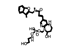 Cc1c(CN(C)C(=O)/C=C/c2cnc3c(c2)NCCC(O)N3COP(=O)(O)ONCCO)oc2ccccc12